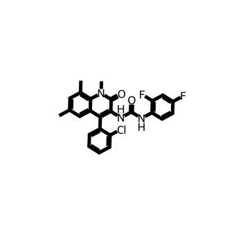 Cc1cc(C)c2c(c1)c(-c1ccccc1Cl)c(NC(=O)Nc1ccc(F)cc1F)c(=O)n2C